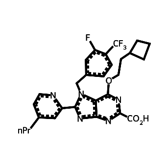 CCCc1ccnc(-c2nc3nc(C(=O)O)nc(OCCC4CCC4)c3n2Cc2ccc(C(F)(F)F)c(F)c2)c1